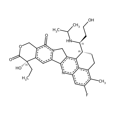 CC[C@@]1(O)C(=O)OCc2c1cc1n(c2=O)Cc2c-1nc1cc(F)c(C)c3c1c2[C@H]([C@H](CCO)NC(C)C)CC3